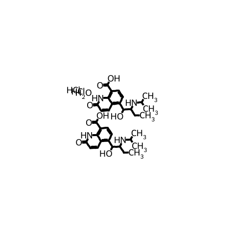 CCC(NC(C)C)C(O)c1ccc(C(=O)O)c2[nH]c(=O)ccc12.CCC(NC(C)C)C(O)c1ccc(C(=O)O)c2[nH]c(=O)ccc12.Cl.Cl.O